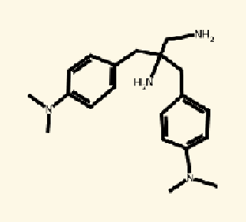 CN(C)c1ccc(CC(N)(CN)Cc2ccc(N(C)C)cc2)cc1